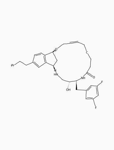 CC(C)CCc1ccc2c(c1)[C@@H]1C[C@H]2OCC=CCCCCC(=O)N[C@@H](Cc2cc(F)cc(F)c2)[C@H](O)CN1